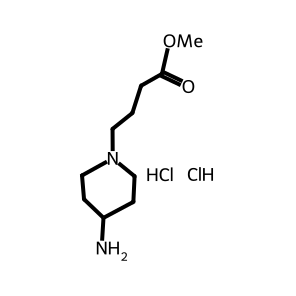 COC(=O)CCCN1CCC(N)CC1.Cl.Cl